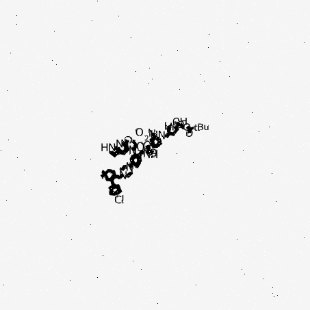 CC1(C)CCC(CN2CCN(c3ccc(C(=O)NS(=O)(=O)c4ccc(NCC5CC[PH](O)(OCOC(=O)C(C)(C)C)CC5)c([N+](=O)[O-])c4)c(N4CCOc5nc6[nH]ccc6cc54)c3)CC2)=C(c2ccc(Cl)cc2)C1